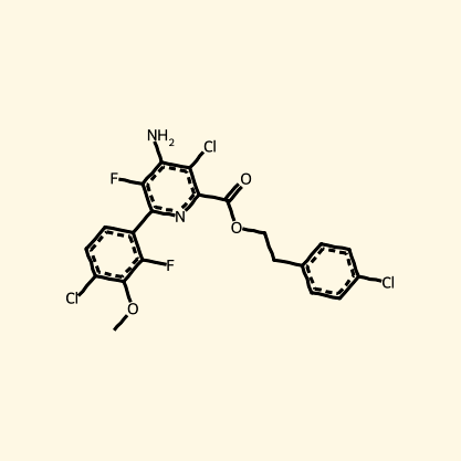 COc1c(Cl)ccc(-c2nc(C(=O)OCCc3ccc(Cl)cc3)c(Cl)c(N)c2F)c1F